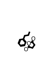 CCCc1ccccc1.O=C1CCC(=O)O1